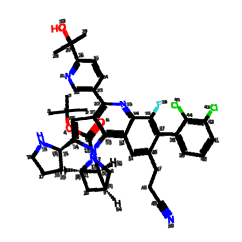 CC(C)(C)OC(=O)N1C[C@H]2C[C@@H]1[C@H]2n1c([C@H]2CCCN2)cc2c(-c3ccc(C(C)(C)O)nc3)nc3c(F)c(-c4cccc(Cl)c4Cl)c(CCC#N)cc3c21